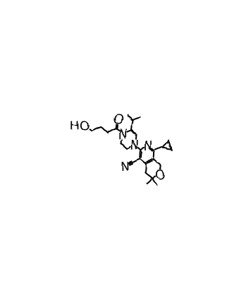 CC(C)C1CN(c2nc(C3CC3)c3c(c2C#N)CC(C)(C)OC3)CCN1C(=O)CCCO